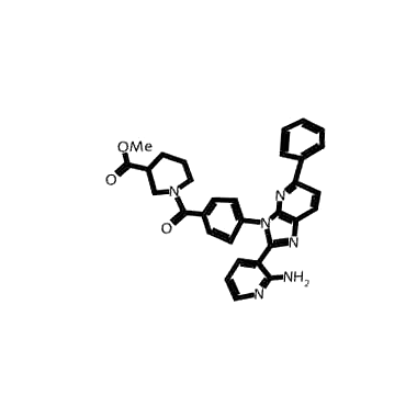 COC(=O)C1CCCN(C(=O)c2ccc(-n3c(-c4cccnc4N)nc4ccc(-c5ccccc5)nc43)cc2)C1